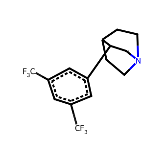 FC(F)(F)c1cc([C]2[CH]N3CCC2CC3)cc(C(F)(F)F)c1